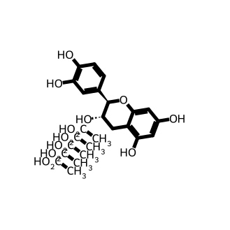 CC(=O)O.CC(=O)O.CC(=O)O.CC(=O)O.CC(=O)O.Oc1cc(O)c2c(c1)O[C@H](c1ccc(O)c(O)c1)[C@@H](O)C2